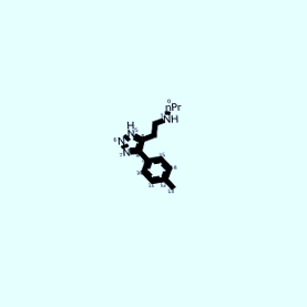 CCCNCCc1[nH]nnc1-c1ccc(C)cc1